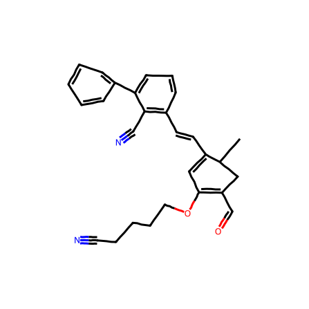 CC1CC(C=O)=C(OCCCCC#N)C=C1/C=C/c1cccc(-c2ccccc2)c1C#N